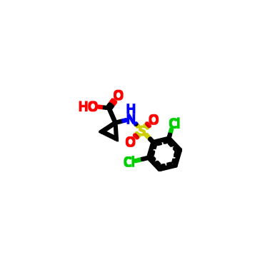 O=C(O)C1(NS(=O)(=O)c2c(Cl)cccc2Cl)CC1